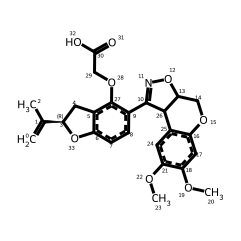 C=C(C)[C@H]1Cc2c(ccc(C3=NOC4COc5cc(OC)c(OC)cc5C34)c2OCC(=O)O)O1